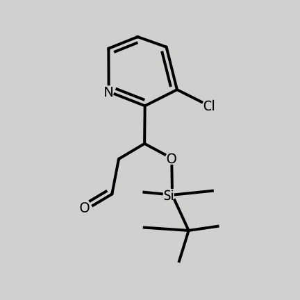 CC(C)(C)[Si](C)(C)OC(CC=O)c1ncccc1Cl